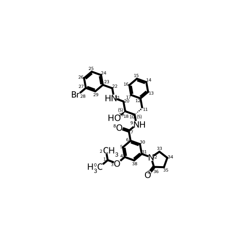 CC(C)Oc1cc(C(=O)N[C@@H](Cc2ccccc2)[C@@H](O)CNCc2cccc(Br)c2)cc(N2CCCC2=O)c1